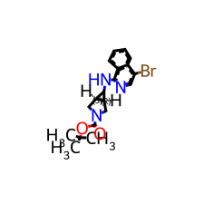 CC(C)(C)OC(=O)N1C[C@@H]2C(Nc3ncc(Br)c4ccccc34)[C@@H]2C1